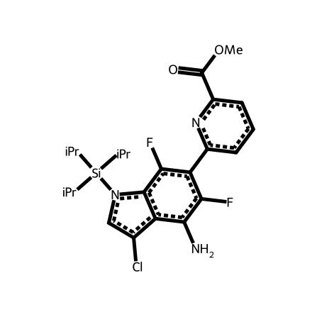 COC(=O)c1cccc(-c2c(F)c(N)c3c(Cl)cn([Si](C(C)C)(C(C)C)C(C)C)c3c2F)n1